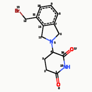 O=C1CCC(N2Cc3cccc(CBr)c3C2)C(=O)N1